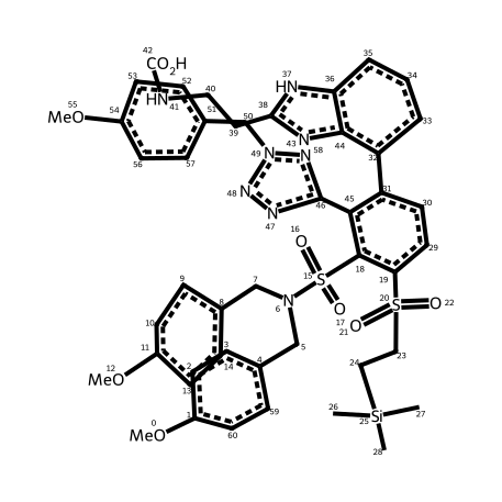 COc1ccc(CN(Cc2ccc(OC)cc2)S(=O)(=O)c2c(S(=O)(=O)CC[Si](C)(C)C)ccc(-c3cccc4[nH]c(CCNC(=O)O)nc34)c2-c2nnn(Cc3ccc(OC)cc3)n2)cc1